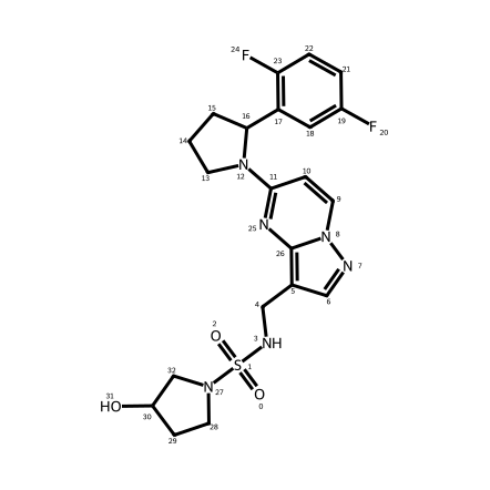 O=S(=O)(NCc1cnn2ccc(N3CCCC3c3cc(F)ccc3F)nc12)N1CCC(O)C1